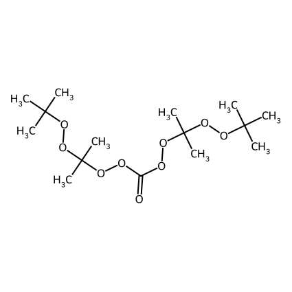 CC(C)(C)OOC(C)(C)OOC(=O)OOC(C)(C)OOC(C)(C)C